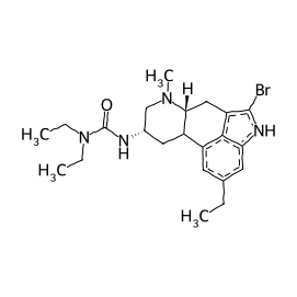 CCc1cc2c3c(c(Br)[nH]c3c1)C[C@@H]1C2C[C@H](NC(=O)N(CC)CC)CN1C